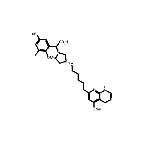 COc1cc(CCCCCO[C@@H]2CCN(C(C(=O)O)c3cc(C(C)(C)C)cc(F)c3OC)C2)nc2c1CCCN2